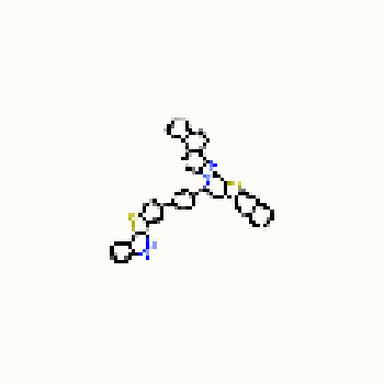 c1ccc2cc3c(cc2c1)sc1c3cc(-c2ccc(-c3ccc4sc5c6ccccc6nnc5c4c3)cc2)n2c3ccc4c5ccccc5ccc4c3nc12